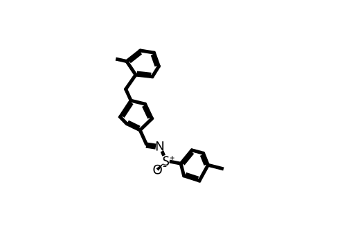 Cc1ccc([S@@+]([O-])/N=C/c2ccc(Cc3ccccc3C)cc2)cc1